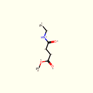 CC(C)CNC(=O)CCC(=O)OC(C)C